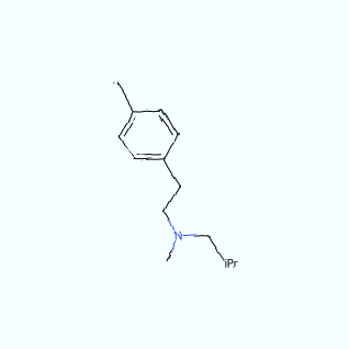 [CH2]c1ccc(CCN(C)CC(C)C)cc1